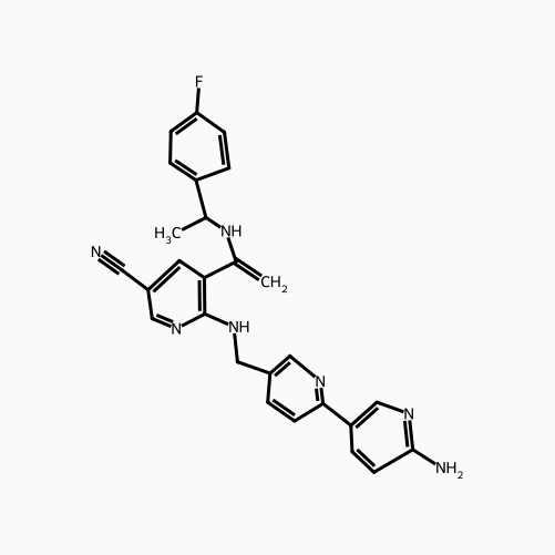 C=C(NC(C)c1ccc(F)cc1)c1cc(C#N)cnc1NCc1ccc(-c2ccc(N)nc2)nc1